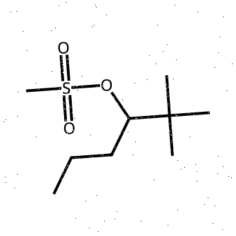 CCCC(OS(C)(=O)=O)C(C)(C)C